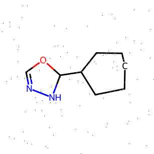 C1=NN[C](C2CCCCC2)O1